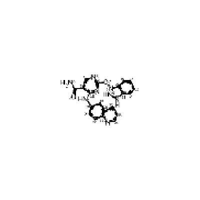 NC(=O)c1cnc(ON2NNc3ccccc32)nc1Nc1ccc2ncccc2c1